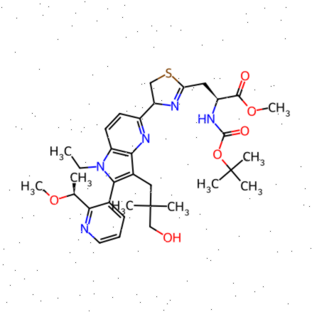 CCn1c(-c2cccnc2[C@H](C)OC)c(CC(C)(C)CO)c2nc(C3CSC(C[C@H](NC(=O)OC(C)(C)C)C(=O)OC)=N3)ccc21